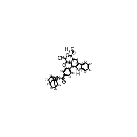 COC(=O)[C@H]1Cc2c([nH]c3ccccc23)[C@@H](c2ccc(C(=O)NC34CC5CC(CC(C5)C3)C4)cc2)N1C(=O)CCl